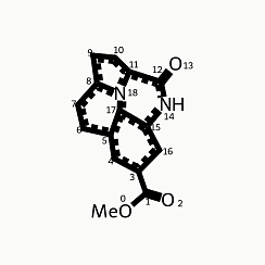 COC(=O)c1cc2ccc3ccc4c(=O)[nH]c(c1)c2n34